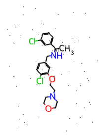 C[C@@H](NCc1ccc(Cl)c(OCCN2CCOCC2)c1)c1cccc(Cl)c1